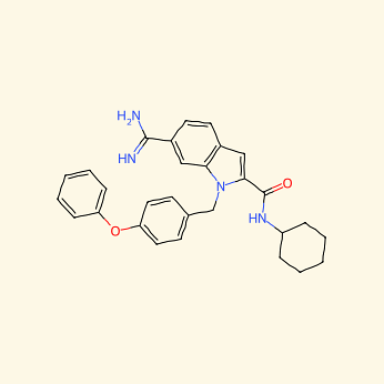 N=C(N)c1ccc2cc(C(=O)NC3CCCCC3)n(Cc3ccc(Oc4ccccc4)cc3)c2c1